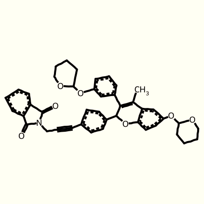 CC1=C(c2cccc(OC3CCCCO3)c2)C(c2ccc(C#CCN3C(=O)c4ccccc4C3=O)cc2)Oc2ccc(OC3CCCCO3)cc21